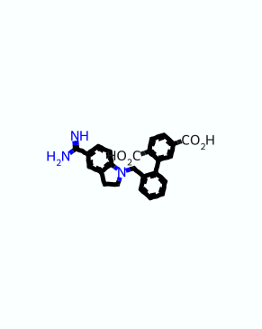 N=C(N)c1ccc2c(c1)CCN2Cc1ccccc1-c1cc(C(=O)O)ccc1C(=O)O